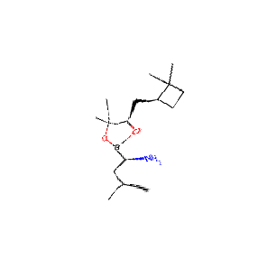 CC(C)C[C@H](N)B1O[C@H](C[C@@H]2CCC2(C)C)C(C)(C)O1